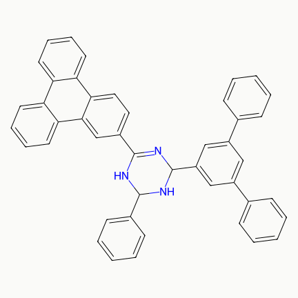 c1ccc(-c2cc(-c3ccccc3)cc(C3N=C(c4ccc5c6ccccc6c6ccccc6c5c4)NC(c4ccccc4)N3)c2)cc1